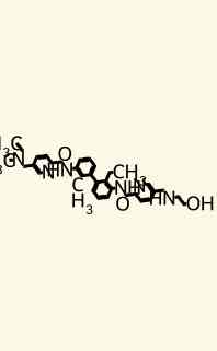 CCc1c(NC(=O)c2ccc(CNCCO)cn2)cccc1-c1cccc(NC(=O)c2ccc(CN(C)CC)cn2)c1C